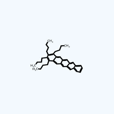 CCCCc1c(CCCC)c(CCCC)c2cc3cc4cc5ccccc5cc4cc3cc2c1CCCC